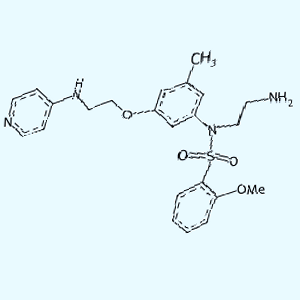 COc1ccccc1S(=O)(=O)N(CCN)c1cc(C)cc(OCCNc2ccncc2)c1